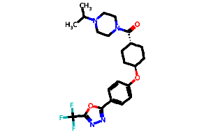 CC(C)N1CCN(C(=O)[C@H]2CC[C@H](Oc3ccc(-c4nnc(C(F)(F)F)o4)cc3)CC2)CC1